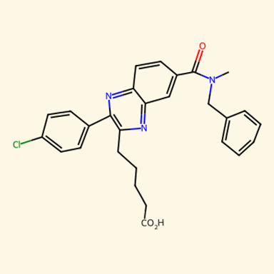 CN(Cc1ccccc1)C(=O)c1ccc2nc(-c3ccc(Cl)cc3)c(CCCCC(=O)O)nc2c1